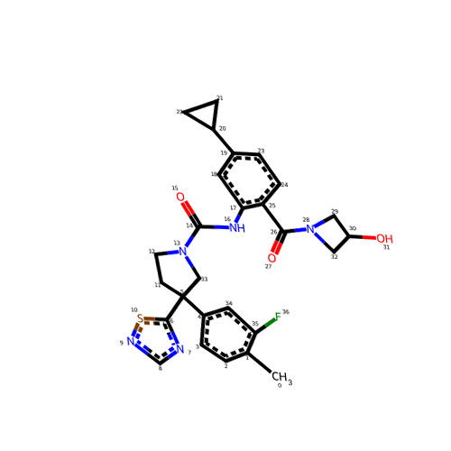 Cc1ccc(C2(c3ncns3)CCN(C(=O)Nc3cc(C4CC4)ccc3C(=O)N3CC(O)C3)C2)cc1F